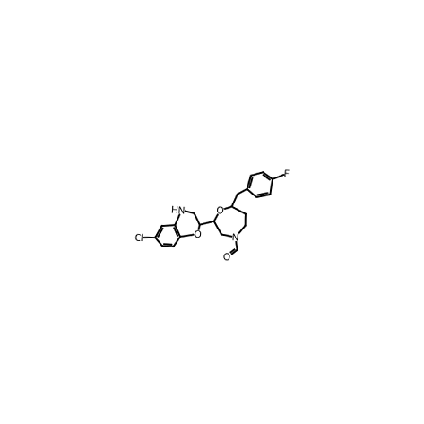 O=CN1CCC(Cc2ccc(F)cc2)OC(C2CNc3cc(Cl)ccc3O2)C1